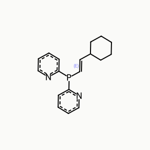 C(=C\P(c1ccccn1)c1ccccn1)/C1CCCCC1